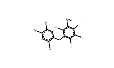 COc1c(F)c(F)c(F)c(Bc2cc(C)c(F)cc2F)c1F